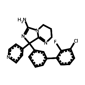 NC1=NC(c2ccncc2)(c2cccc(-c3cccc(Cl)c3F)c2)C2=NCCCN12